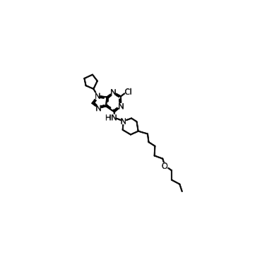 CCCCOCCCCCC1CCN(Nc2nc(Cl)nc3c2ncn3C2CCCC2)CC1